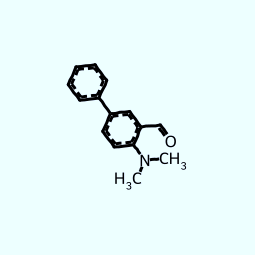 CN(C)c1ccc(-c2ccccc2)cc1C=O